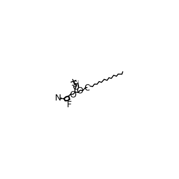 CCCCCCCCCCCCCCCCCCOCC(CO[Si](C)(C)C(C)(C)C)OCc1cc(F)cc(C#N)c1